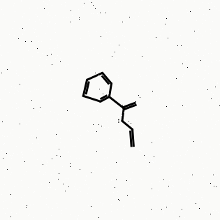 C=C[C]C(=C)c1ccccc1